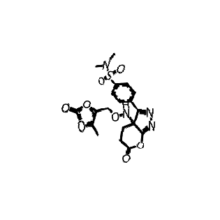 Cc1oc(=O)oc1CONC12CCC(=O)OC1=NN=C2c1ccc(S(=O)(=O)N(C)C)cc1